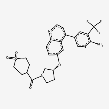 Nc1ncc(-c2ccnc3ccc(O[C@H]4CCN(C(=O)C5CCS(=O)(=O)CC5)C4)cc23)cc1C(F)(F)F